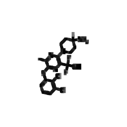 Cc1nc(N2CCC(C)(N)CC2)c(C(O)(F)F)nc1Sc1cccc(Cl)c1Cl